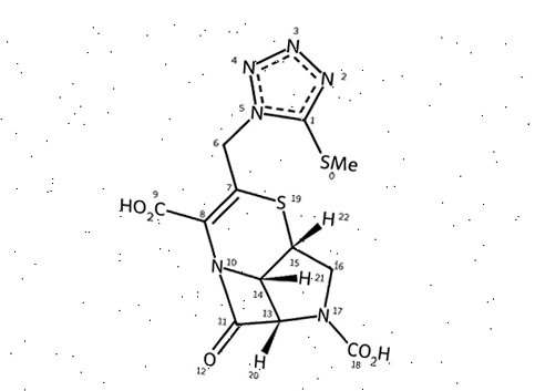 CSc1nnnn1CC1=C(C(=O)O)N2C(=O)[C@@H]3[C@H]2[C@@H](CN3C(=O)O)S1